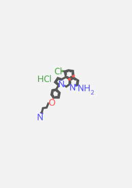 Cl.N#CCCCOc1ccc(-c2ccc(-c3ccccc3Cl)n2Cc2cccc(N)n2)cc1